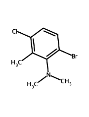 Cc1c(Cl)ccc(Br)c1N(C)C